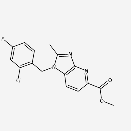 COC(=O)c1ccc2c(n1)nc(C)n2Cc1ccc(F)cc1Cl